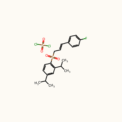 CC(C)c1ccc(S(=O)(=O)CC=Cc2ccc(F)cc2)c(C(C)C)c1.O=S(=O)(Cl)Cl